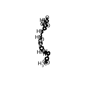 CS(=O)(=O)c1ccc(-c2cccc3nc(Nc4ccc(N5CCN(CC(=O)NCCCNc6ccc7c(c6)C(=O)N(C6CCC(=O)NC6=O)C7=O)CC5)cc4)nn23)cc1